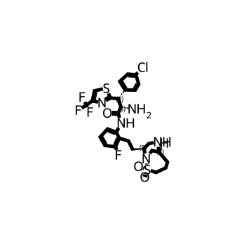 N[C@H](C(=O)Nc1cccc(F)c1CC[C@H]1CN[C@@H]2CCCS(=O)(=O)N1C2)[C@@H](c1ccc(Cl)cc1)c1nc(C(F)(F)F)cs1